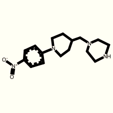 O=[N+]([O-])c1ccc(N2CCC(CN3CCNCC3)CC2)cc1